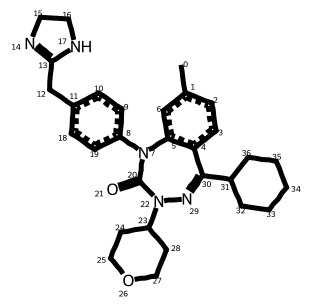 Cc1ccc2c(c1)N(c1ccc(CC3=NCCN3)cc1)C(=O)N(C1CCOCC1)N=C2C1CCCCC1